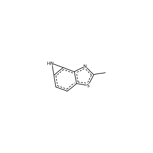 Cc1nc2c3c(ccc2s1)N3